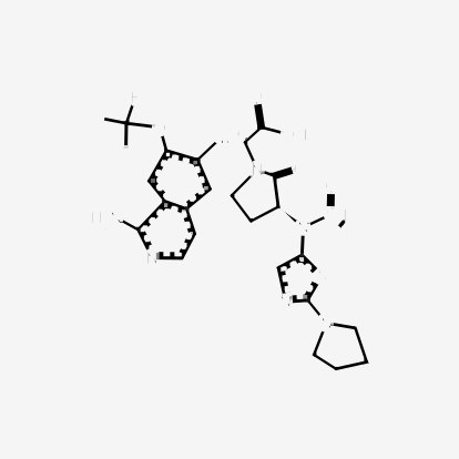 Nc1nccc2cc(C[C@H](C(=O)O)N3CC[C@H](N(c4cnc(N5CCCC5)s4)[SH](=O)=O)C3=O)c(OC(F)(F)F)cc12